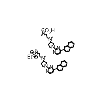 CCS(=O)(=O)N(C)CCN(C)[C@@H]1CCN(c2nccc(-c3ccc4ccccc4c3)n2)C1.CN(CCN(C)[C@@H]1CCN(c2nccc(-c3ccc4ccccc4c3)n2)C1)C(=O)O